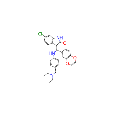 CCN(CC)Cc1ccc(NC(=C2C(=O)Nc3cc(Cl)ccc32)c2ccc3c(c2)OC=CO3)cc1